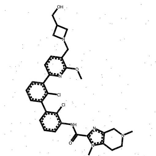 COc1nc(-c2cccc(-c3cccc(NC(=O)c4nc5c(n4C)CCN(C)C5)c3Cl)c2Cl)ccc1CN1CC(CO)C1